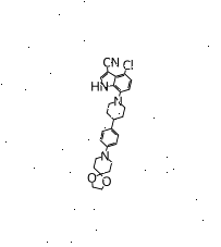 N#Cc1c[nH]c2c(N3CCC(c4ccc(N5CCC6(CC5)OCCO6)cc4)CC3)ccc(Cl)c12